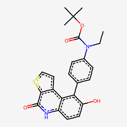 CCN(C(=O)OC(C)(C)C)c1ccc(-c2c(O)ccc3[nH]c(=O)c4sccc4c23)cc1